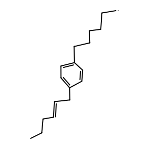 [CH2]CCCCCc1ccc(CC=CCCC)cc1